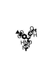 CNC(=O)N1CC[C@H](CC(C(=O)Nc2cnc(C)cn2)c2ccc(S(=O)(=O)C3CC3)cc2)C1